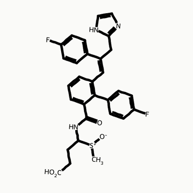 C[S+]([O-])C(CCC(=O)O)NC(=O)c1cccc(C=C(Cc2ncc[nH]2)c2ccc(F)cc2)c1-c1ccc(F)cc1